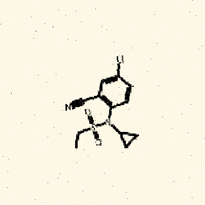 CCS(=O)(=O)N(c1c[c]c(Cl)cc1C#N)C1CC1